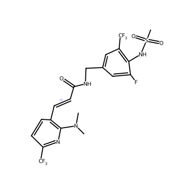 CN(C)c1nc(C(F)(F)F)ccc1/C=C/C(=O)NCc1cc(F)c(NS(C)(=O)=O)c(C(F)(F)F)c1